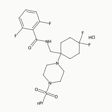 CCCS(=O)(=O)N1CCN(C2(CNC(=O)c3c(F)cccc3F)CCC(F)(F)CC2)CC1.Cl